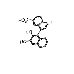 O=C(O)c1ccc2[nH]cc(-c3c(O)c(O)cc4ccccc34)c2c1